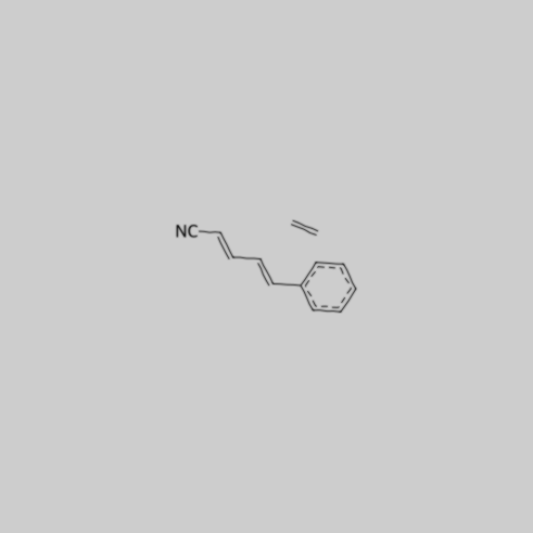 C=C.N#CC=CC=Cc1ccccc1